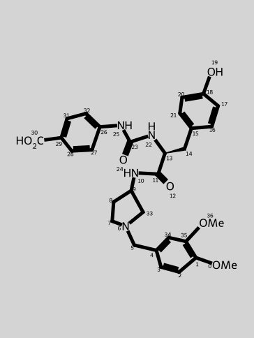 COc1ccc(CN2CCC(NC(=O)[C@H](Cc3ccc(O)cc3)NC(=O)Nc3ccc(C(=O)O)cc3)C2)cc1OC